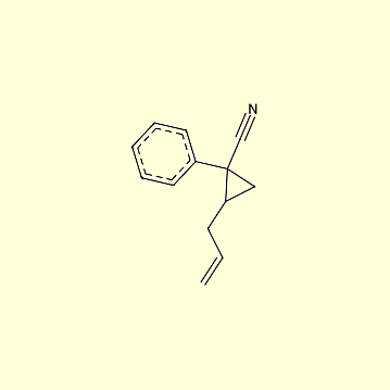 C=CCC1CC1(C#N)c1ccccc1